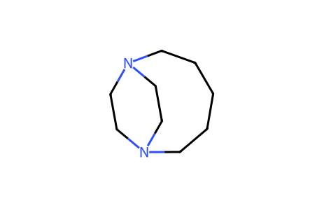 C1CCN2CCN(CC1)CC2